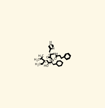 C=C[C@@H](C[C@H](O)[C@H](CC1CCCCC1)NC(=O)[C@H](Cc1c[nH]cn1)NC(=O)[CH]Cc1ccccc1)C(C)C